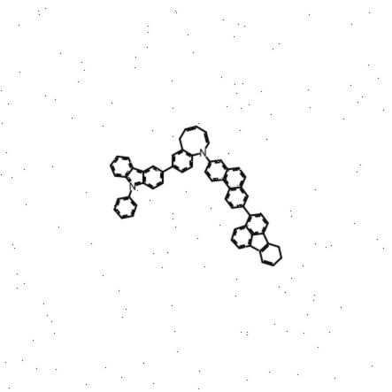 C1=CC2=C(CC1)c1ccc(-c3ccc4c(ccc5cc(N6/C=C\C=C/Cc7cc(-c8ccc9c(c8)c8ccccc8n9-c8ccccc8)ccc76)ccc54)c3)c3cccc2c13